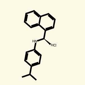 CC(C)c1ccc(N[C@H](C)c2cccc3ccccc23)cc1.Cl